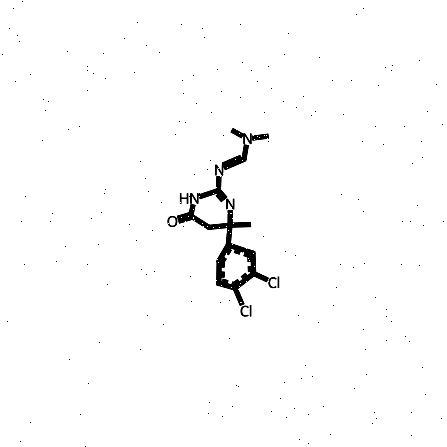 CN(C)C=NC1=NC(C)(c2ccc(Cl)c(Cl)c2)CC(=O)N1